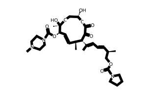 C/C(=C\C=C\[C@@H](C)COC(=O)N1CCCC1)[C@H]1C(=O)C(=O)C[C@@H](O)CC[C@](C)(O)[C@@H](OC(=O)N2CCN(C)CC2)/C=C/[C@@H]1C